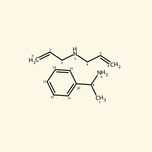 C=CCNCC=C.CC(N)c1ccccc1